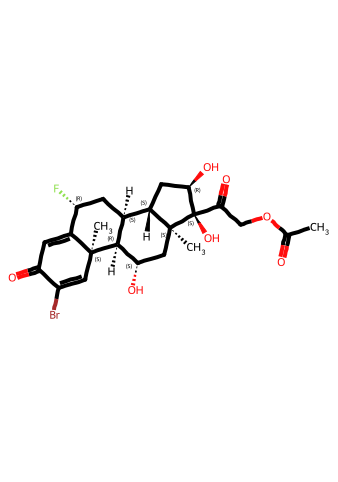 CC(=O)OCC(=O)[C@@]1(O)[C@H](O)C[C@H]2[C@@H]3C[C@@H](F)C4=CC(=O)C(Br)=C[C@]4(C)[C@@H]3[C@@H](O)C[C@@]21C